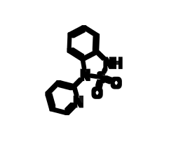 O=S1(=O)Nc2ccccc2N1c1ccccn1